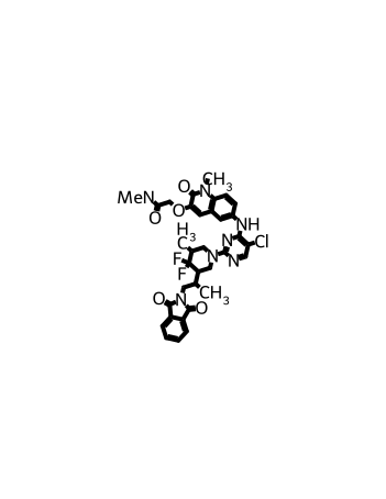 CNC(=O)COc1cc2cc(Nc3nc(N4CC(C)C(F)(F)C(C(C)CN5C(=O)c6ccccc6C5=O)C4)ncc3Cl)ccc2n(C)c1=O